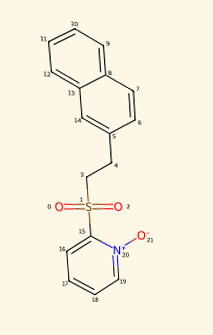 O=S(=O)(CCc1ccc2ccccc2c1)c1cccc[n+]1[O-]